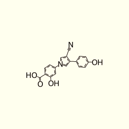 N#Cc1cn(-c2ccc(C(=O)O)c(O)c2)cc1-c1ccc(O)cc1